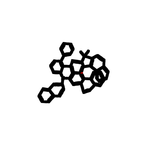 CC1(C)c2cc(-c3c(-c4ccccc4)cccc3N(c3ccc4ccccc4c3)c3ccc4c(ccc5ccccc54)c3)ccc2-c2c1ccc1ccccc21